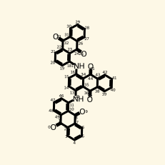 O=C1c2ccccc2C(=O)c2c(Nc3ccc(Nc4cccc5c4C(=O)c4ccccc4C5=O)c4c3C(=O)c3ccccc3C4=O)cccc21